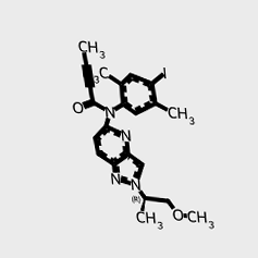 CC#CC(=O)N(c1ccc2nn([C@H](C)COC)cc2n1)c1cc(C)c(I)cc1C